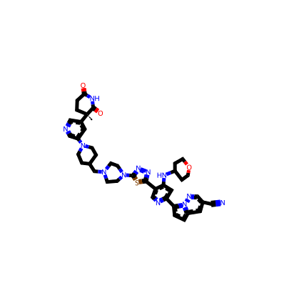 C[C@]1(c2cncc(N3CCC(CN4CCN(c5nnc(-c6cnc(-c7ccc8cc(C#N)cnn78)cc6NC6CCOCC6)s5)CC4)CC3)c2)CCC(=O)NC1=O